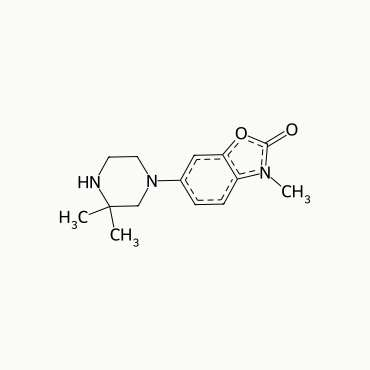 Cn1c(=O)oc2cc(N3CCNC(C)(C)C3)ccc21